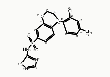 O=S(=O)(Nc1ncns1)c1ccc2c(c1)OCCN2c1ccc(C(F)(F)F)cc1Cl